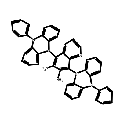 Nc1c(N)c(N2c3ccccc3N(c3ccccc3)c3ccccc32)c2nccnc2c1N1c2ccccc2N(c2ccccc2)c2ccccc21